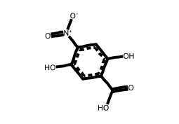 O=C(O)c1cc(O)c([N+](=O)[O-])cc1O